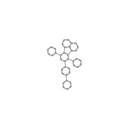 c1ccc(-c2ccc(-c3cc(-c4ccccc4)c4c(c3-c3ccccc3)-c3cccc5cccc-4c35)cc2)cc1